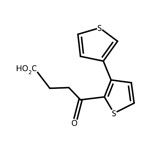 O=C(O)CCC(=O)c1sccc1-c1ccsc1